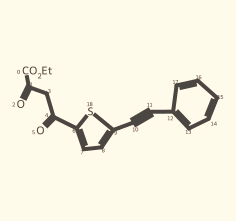 CCOC(=O)C(=O)CC(=O)c1ccc(C#Cc2ccccc2)s1